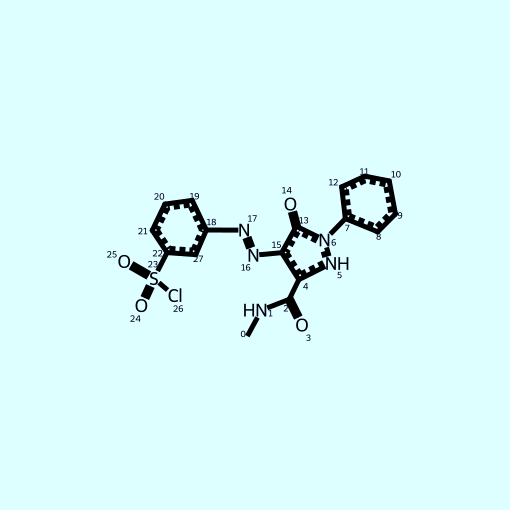 CNC(=O)c1[nH]n(-c2ccccc2)c(=O)c1N=Nc1cccc(S(=O)(=O)Cl)c1